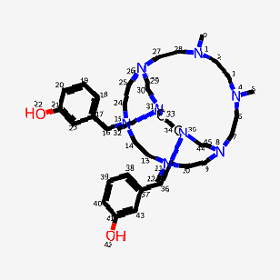 CN1CCN(C)CCN2CCN(C)CCN(Cc3cccc(O)c3)CCN(CC1)CCN(C)CCN(Cc1cccc(O)c1)CC2